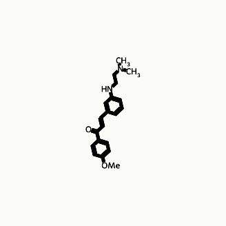 COc1ccc(C(=O)C=Cc2cccc(NCCN(C)C)c2)cc1